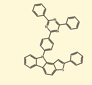 c1ccc(-c2nc(-c3ccccc3)nc(-c3ccc(-n4c5ccccc5c5ccc6sc(-c7ccccc7)cc6c54)cc3)n2)cc1